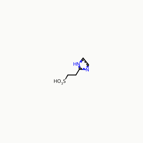 O=S(=O)(O)CCc1ncc[nH]1